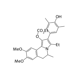 CCOC(=O)Oc1c(-c2cc(C)c(O)c(C)c2)c(CC)n2c1-c1cc(OC)c(OC)cc1CC2C